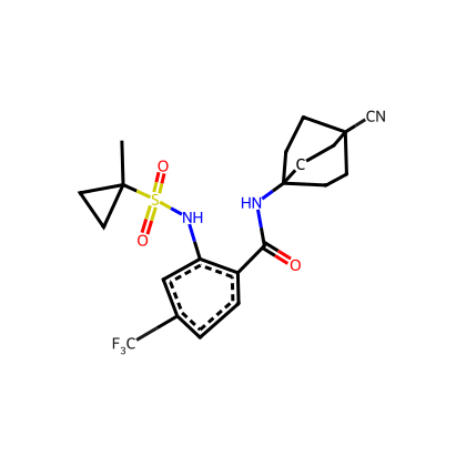 CC1(S(=O)(=O)Nc2cc(C(F)(F)F)ccc2C(=O)NC23CCC(C#N)(CC2)CC3)CC1